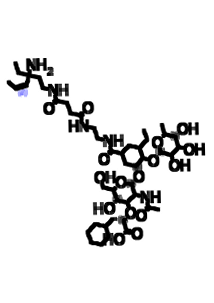 C/C=C\C(N)(CC)CCNC(=O)CCC(=O)NCCNC(=O)C1CC(CC)C(O[C@@H]2OC(C)[C@H](O)C(O)C2O)[C@H](O[C@@H]2OC(CO)[C@H](O)C(O[C@@H](CC3CCCCC3)C(=O)O)C2NC(C)=O)C1